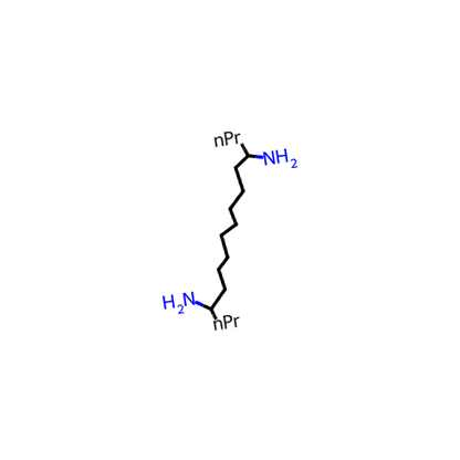 CCCC(N)CCCCCCCCC(N)CCC